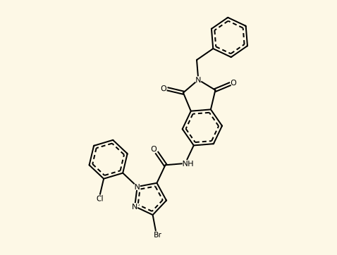 O=C(Nc1ccc2c(c1)C(=O)N(Cc1ccccc1)C2=O)c1cc(Br)nn1-c1ccccc1Cl